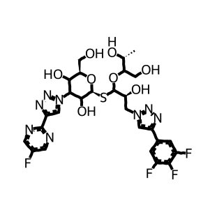 C[C@@H](O)C(CO)OC(S[C@@H]1O[C@H](CO)C(O)C(n2cc(-c3ncc(F)cn3)nn2)C1O)[C@@H](O)Cn1cc(-c2cc(F)c(F)c(F)c2)nn1